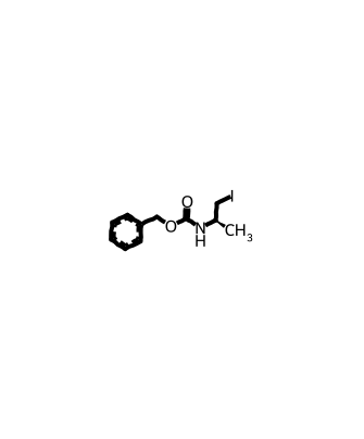 C[C@H](CI)NC(=O)OCc1ccccc1